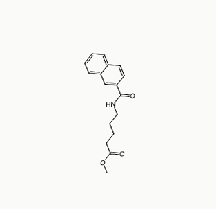 COC(=O)CCCCNC(=O)c1ccc2ccccc2c1